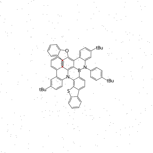 CC(C)(C)c1ccc(N2B3c4ccc5c(sc6ccccc65)c4N(c4ccc(C(C)(C)C)cc4-c4ccccc4)c4cc5c(oc6ccccc65)c(c43)-c3ccc(C(C)(C)C)cc32)cc1